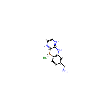 Cl.NCc1ccc2c(c1)Nc1nccnc1S2